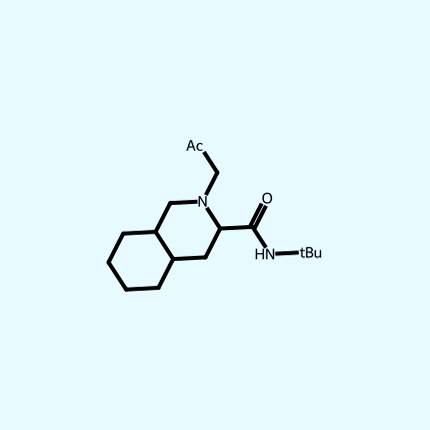 CC(=O)CN1CC2CCCCC2CC1C(=O)NC(C)(C)C